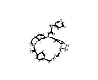 Cc1c2ccc3c1NNN3CCCCCc1ccc(cc1)C(=O)N1CCc3ccc(cc3C1)C2CC(=O)Nc1cccnc1